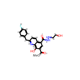 COC(=O)c1cc(C(=O)NNCCO)c2ccc(Cc3ccc(F)cc3)nc2c1O